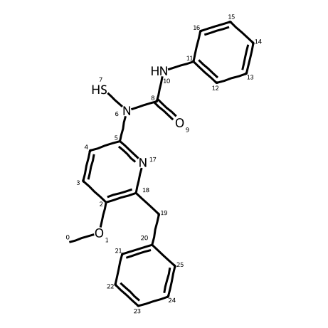 COc1ccc(N(S)C(=O)Nc2ccccc2)nc1Cc1ccccc1